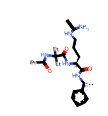 C=C(N)NCCC[C@H](NC(=O)C(CC)(CC)NC(=O)C(C)C)C(=O)N[C@H](C)c1ccccc1